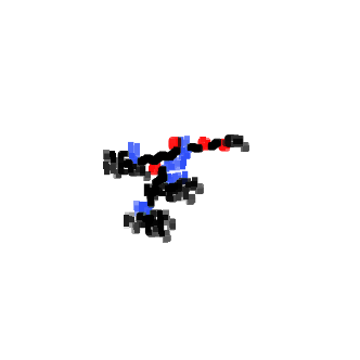 COCCOCCNC(=O)C(CCCCNC(C)(C)C)NC(=O)C(CCCCNC(C)(C)C)NC(C)(C)C